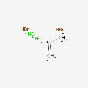 Br.Br.C=CC.Cl.Cl